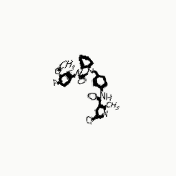 COc1cc(-n2c(=O)n(CC3CCC(NC(=O)c4cc(Cl)cnc4C)CC3)c3ccccc32)ccc1F